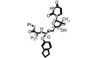 CC(C)SC(=O)[C@H](C)NP(=O)(OC[C@H]1O[C@@H](n2ccc(=O)[nH]c2=O)[C@](C)(F)[C@@H]1O)Oc1ccc2c(c1)CCC2